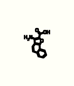 Nc1c(C(=O)O)oc2c1ccc1ccccc12